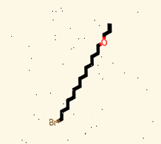 C=CCOCCCCCCCCCCCCCCBr